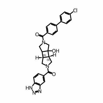 O=C(c1ccc2[nH]nnc2c1)N1C[C@@H]2C3CN(C(=O)c4ccc(-c5ccc(Cl)cc5)cc4)CC3(O)[C@@H]2C1